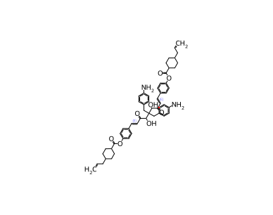 C=CCC1CCC(C(=O)Oc2ccc(/C=C/C(=O)C(O)C(Cc3ccc(N)cc3)(Cc3ccc(N)cc3)C(O)C(=O)/C=C/c3ccc(OC(=O)C4CCC(CC=C)CC4)cc3)cc2)CC1